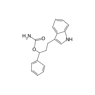 NC(=O)OC(CCc1c[nH]c2ccccc12)c1ccccc1